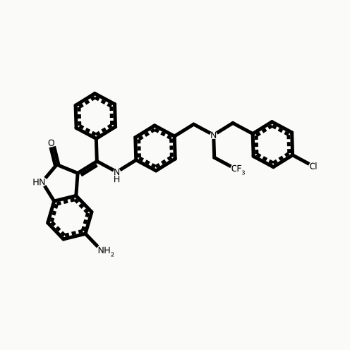 Nc1ccc2c(c1)C(=C(Nc1ccc(CN(Cc3ccc(Cl)cc3)CC(F)(F)F)cc1)c1ccccc1)C(=O)N2